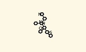 c1ccc(-c2cc(-c3ccc(-c4ccc5c(c4)sc4ccccc45)c4c3oc3ccccc34)nc(-c3cccc(-c4cccnc4)c3)n2)cc1